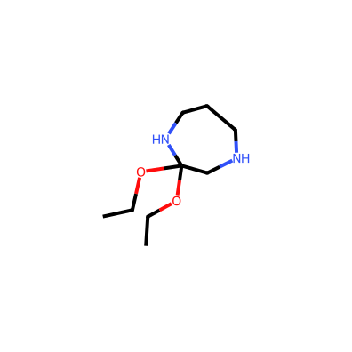 CCOC1(OCC)CNCCCN1